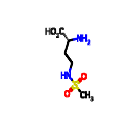 CS(=O)(=O)NCC[C@@H](N)C(=O)O